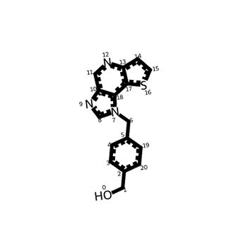 OCc1ccc(Cn2cnc3cnc4ccsc4c32)cc1